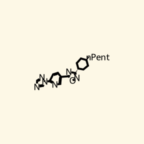 CCCCC[C@H]1CC[C@H](c2noc(-c3ccc(-n4cncn4)nc3)n2)CC1